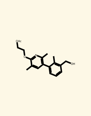 CC(=O)OCCOc1nc(C)c(-c2cccc(CO)c2C)cc1C